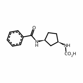 O=C(O)N[C@@H]1CC[C@H](NC(=O)c2ccccc2)C1